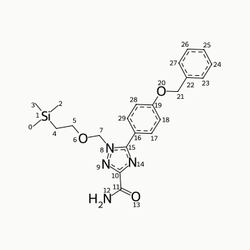 C[Si](C)(C)CCOCn1nc(C(N)=O)nc1-c1ccc(OCc2ccccc2)cc1